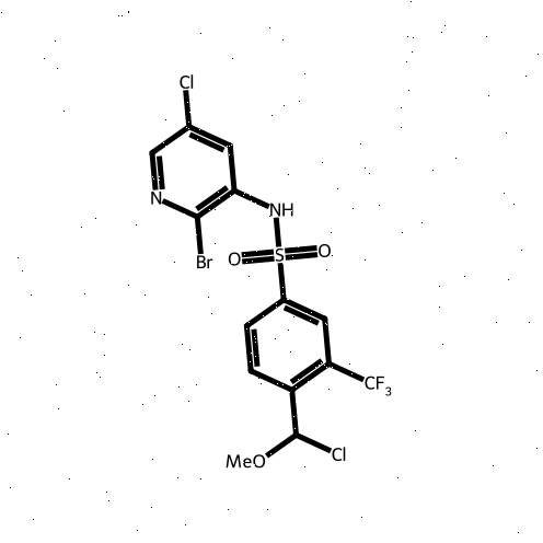 COC(Cl)c1ccc(S(=O)(=O)Nc2cc(Cl)cnc2Br)cc1C(F)(F)F